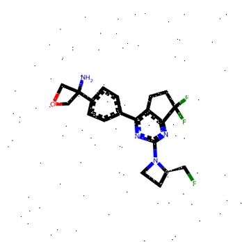 NC1(c2ccc(-c3nc(N4CC[C@@H]4CF)nc4c3CCC4(F)F)cc2)COC1